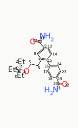 CC[Si](CC)(CC)OCCc1cc(C(N)=O)ccc1-c1ccc(C(N)=O)cc1